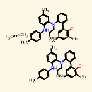 COCCN(c1cc(C)ccc1Nc1ccc(C)cc1)c1ccccc1-c1cc(C)cc(C(C)(C)C)c1[O-].COCCN(c1cc(C)ccc1Nc1ccc(C)cc1)c1ccccc1-c1cc(C)cc(C(C)(C)C)c1[O-].[CH3][Hf+2][CH3]